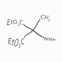 CCOC(=O)C(C)(NC)C(=O)OCC